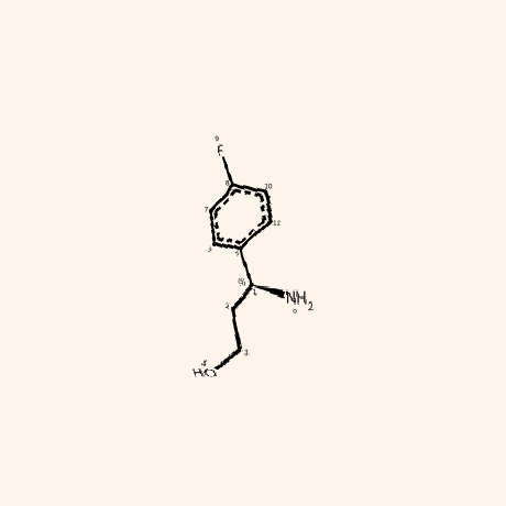 N[C@@H](CCO)c1ccc(F)cc1